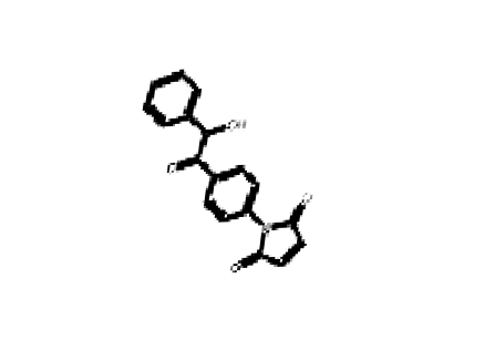 O=C(c1ccc(N2C(=O)C=CC2=O)cc1)C(O)c1ccccc1